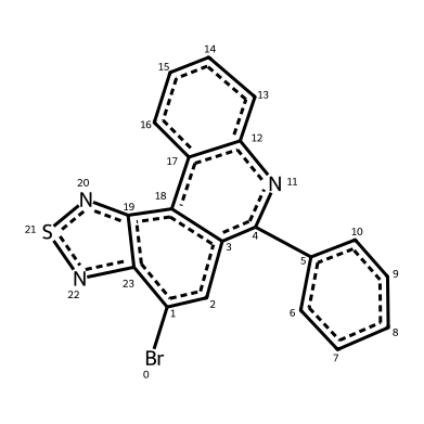 Brc1cc2c(-c3ccccc3)nc3ccccc3c2c2nsnc12